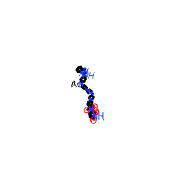 CC(=O)N(c1ccc(N2CCN(CC3CCN(c4ccc5c(c4)C(=O)N(C4CCC(=O)NC4=O)C5=O)CC3)CC2)cc1)C1CCC(Nc2ncc3ccccc3n2)CC1